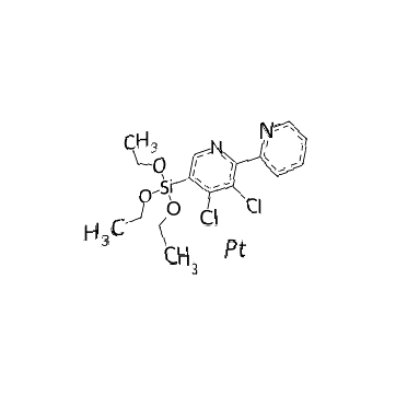 CCO[Si](OCC)(OCC)c1cnc(-c2ccccn2)c(Cl)c1Cl.[Pt]